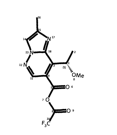 CO[C@@H](C)c1c(C(=O)OC(=O)C(F)(F)F)cnn2cc(C)nc12